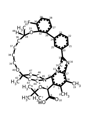 Cc1c([C@H](OC(C)(C)C)C(=O)O)c2n3cc(nc3c1C)-c1cccc(c1)-c1cccc(F)c1O[C@@H](C)CCCCOC1(C)CCN2CC1